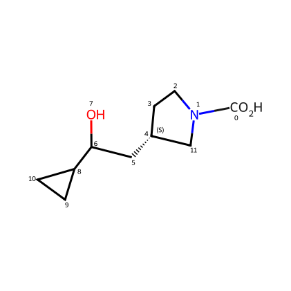 O=C(O)N1CC[C@@H](CC(O)C2CC2)C1